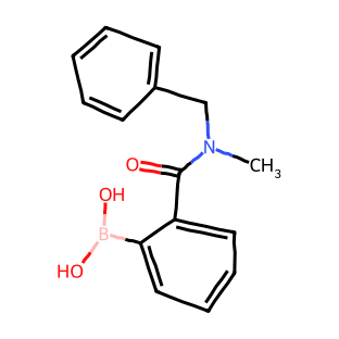 CN(Cc1ccccc1)C(=O)c1ccccc1B(O)O